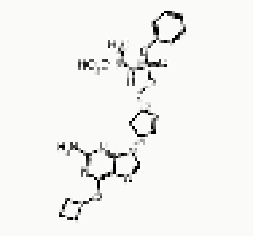 C[C@H](N[P@@](=O)(OC[C@@H]1C=C[C@H](n2cnc3c(OC4CCC4)nc(N)nc32)C1)Oc1ccccc1)C(=O)O